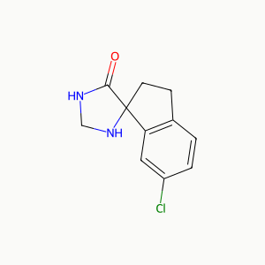 O=C1NCNC12CCc1ccc(Cl)cc12